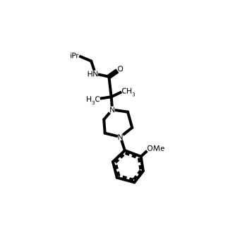 COc1ccccc1N1CCN(C(C)(C)C(=O)NCC(C)C)CC1